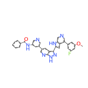 COc1cc(F)cc(-c2cncc3[nH]c(-c4n[nH]c5ncc(-c6cncc(NC(=O)c7ccccc7)c6)cc45)cc23)c1